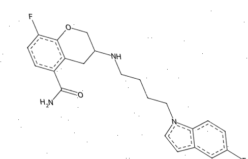 NC(=O)c1ccc(F)c2c1CC(NCCCCn1ccc3cc(F)ccc31)CO2